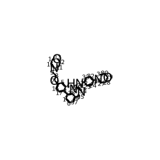 c1cc(-c2ccc(OCCN3CCOCC3)cc2)c2nc(Nc3ccc(N4CCOCC4)cc3)ncc2c1